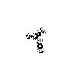 O=[N+]([O-])c1cc2c(NCc3ccc4c(c3)OCCO4)nc(-n3cncn3)nc2s1